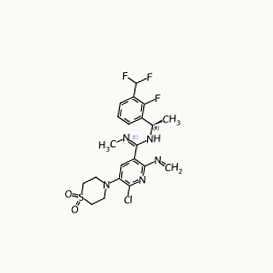 C=Nc1nc(Cl)c(N2CCS(=O)(=O)CC2)cc1/C(=N\C)N[C@H](C)c1cccc(C(F)F)c1F